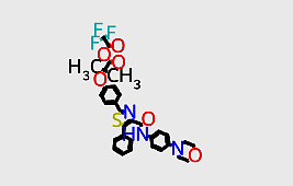 CC(C)(Oc1ccc(-c2nc(C(=O)Nc3ccc(N4CCOCC4)cc3)c(-c3ccccc3)s2)cc1)C(=O)OC(=O)C(F)(F)F